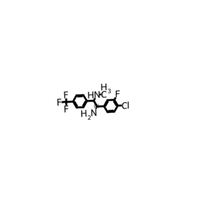 CNC(c1ccc(C(F)(F)F)cc1)[C@H](N)c1ccc(Cl)c(F)c1